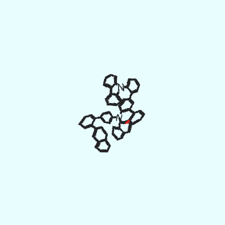 c1ccc(-c2cc(-c3ccccc3-n3c4ccccc4c4ccccc43)ccc2N(c2ccc(-c3ccccc3-c3ccc4ccccc4c3)cc2)c2cccc3ccccc23)cc1